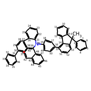 CC1(c2ccccc2)c2ccccc2-c2c(-c3ccc(N(c4ccccc4-c4ccc(-c5ccccc5)cc4)c4cccc5ccccc45)cc3)cccc21